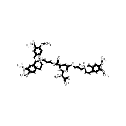 COc1ccc(C[C@@H]2c3cc(OC)c(OC)cc3CC[N@@+]2(C)CCCOC(=O)C(CC(=O)OCCC[N@+]2(C)CCc3cc(OC)c(OC)cc3C2)SC[C@@H](N)C(=O)O)cc1OC